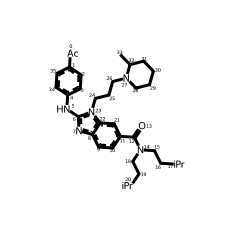 CC(=O)c1ccc(Nc2nc3ccc(C(=O)N(CCC(C)C)CCC(C)C)cc3n2CCCN2CCCCC2C)cc1